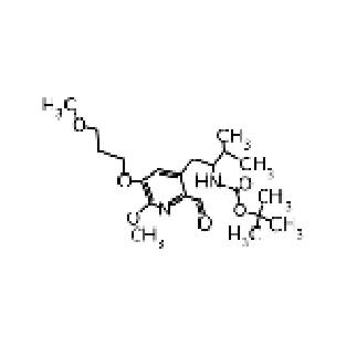 COCCCOc1cc(CC(NC(=O)OC(C)(C)C)C(C)C)c(C=O)nc1OC